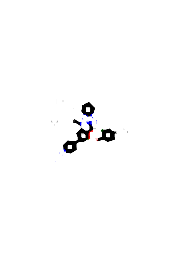 COCCn1c(CC2=CC=C(c3ccc(N)cc3)CC2(F)OCc2ccc(C#N)cc2F)nc2ccc(C(=O)O)cc21